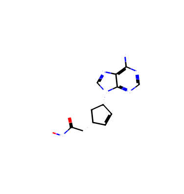 Nc1ncnc2c1ncn2[C@@H]1C=C[C@H](CC(=O)NO)C1